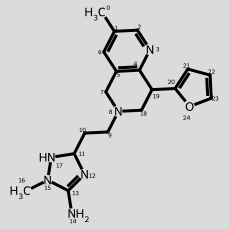 Cc1cnc2c(c1)CN(CCC1N=C(N)N(C)N1)CC2c1ccco1